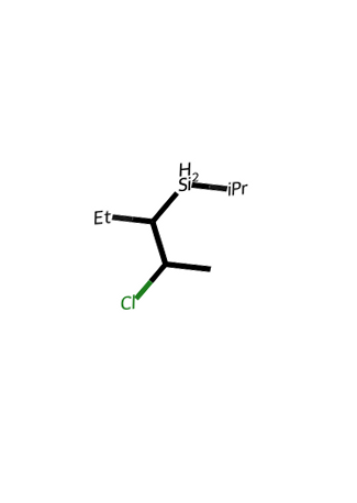 CCC([SiH2]C(C)C)C(C)Cl